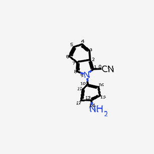 N#Cc1c2ccccc2cn1-c1ccc(N)cc1